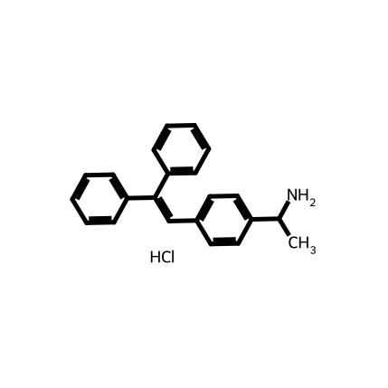 CC(N)c1ccc(C=C(c2ccccc2)c2ccccc2)cc1.Cl